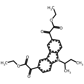 CCOC(=O)C(=O)c1ccc2c(c1)c1cc(C(=O)C(=O)OCC)ccc1n2C(C)CC